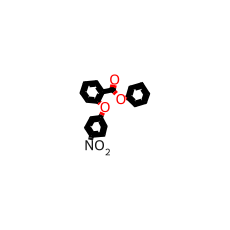 O=C(Oc1ccccc1)c1ccccc1Oc1ccc([N+](=O)[O-])cc1